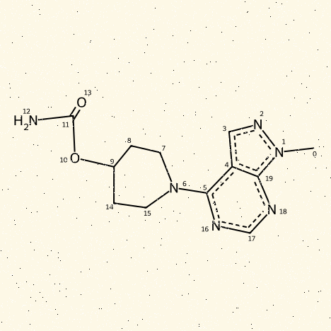 Cn1ncc2c(N3CCC(OC(N)=O)CC3)ncnc21